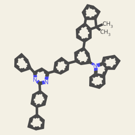 CC1(C)c2ccccc2-c2ccc(-c3cc(-c4ccc(-c5cc(-c6ccccc6)nc(-c6ccc(-c7ccccc7)cc6)n5)cc4)cc(-n4c5ccccc5c5ccccc54)c3)cc21